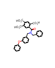 O=C(O)c1cc(C(=O)O)c(C(=O)N(Cc2ccccc2)Cc2cccc(Oc3ccccc3)c2)cc1C(=O)O